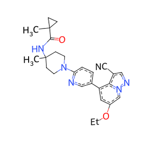 CCOc1cc(-c2ccc(N3CCC(C)(NC(=O)C4(C)CC4)CC3)nc2)c2c(C#N)cnn2c1